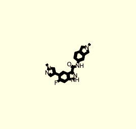 CN1Cc2ccc(NC(=O)c3n[nH]c4cc(F)c(-c5cnn(C)c5)cc34)cc2C1